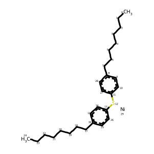 CCCCCCCCc1ccc(Sc2ccc(CCCCCCCC)cc2)cc1.[Ni]